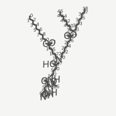 CCCCCCCCCCCOC(=O)CCCCCN(CCCCCCCC(=O)OC(CCCCCCCC)CCCCCCCC)CC(O)CCCCNC(=O)[C@H](Cc1cnc[nH]1)NC(C)=O